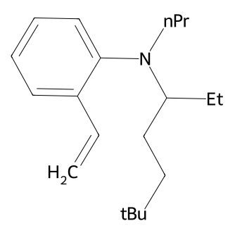 C=Cc1ccccc1N(CCC)C(CC)CCC(C)(C)C